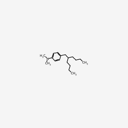 CCCCC(CCCC)Cc1ccc(N(C)C)cc1